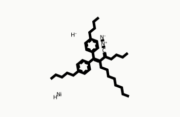 CCCCCCCCC(C(=C=[N+]=[N-])CCCC)=C(c1ccc(CCCC)cc1)c1ccc(CCCCC)cc1.[H-].[H-].[Ni]